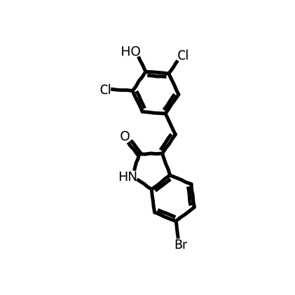 O=C1Nc2cc(Br)ccc2C1=Cc1cc(Cl)c(O)c(Cl)c1